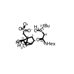 CC1(C)C2CCC1(CS(=O)(=O)[O-])C(=O)C2.CCCCCCC(=O)C[S+](C)C(C)(C)C